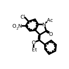 CCO/C(=C1/C(=O)N(C(C)=O)c2cc(Cl)c([N+](=O)[O-])cc21)c1ccccc1